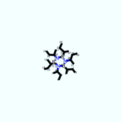 CCC(C)B1N(C(C)CC)B(C(C)CC)N(C(C)CC)B(C(C)CC)N1C(C)CC